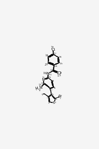 Cc1csc(Br)c1-c1ccc(NC(=O)c2ccc(Cl)cc2)nc1N